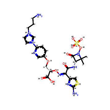 CC1(C)[C@H](NC(=O)/C(=N\O[C@@H](COc2ccc(-n3cc[n+](CCCN)c3)nc2)C(=O)O)c2csc(N)n2)C(=O)N1OS(=O)(=O)[O-]